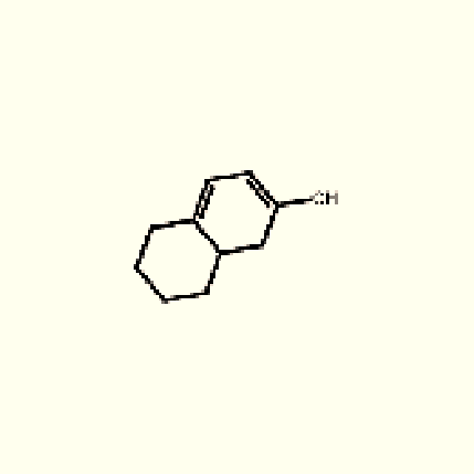 OC1=CC=C2CCCCC2C1